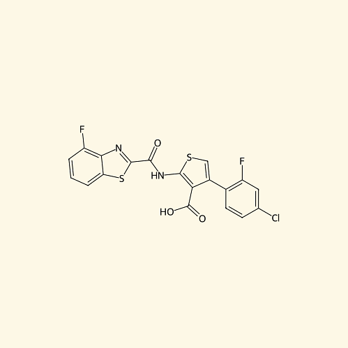 O=C(Nc1scc(-c2ccc(Cl)cc2F)c1C(=O)O)c1nc2c(F)cccc2s1